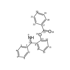 N=C(c1ccccc1)c1ccccc1OC(=O)c1ccccc1